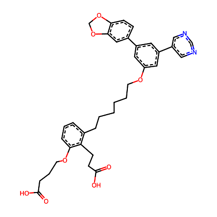 O=C(O)CCCOc1cccc(CCCCCCOc2cc(-c3cncnc3)cc(-c3ccc4c(c3)OCO4)c2)c1CCC(=O)O